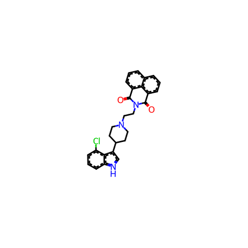 O=C1c2cccc3cccc(c23)C(=O)N1CCN1CCC(c2c[nH]c3cccc(Cl)c23)CC1